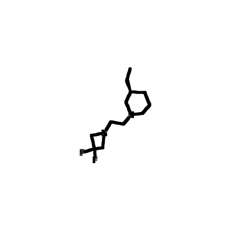 CC[C@H]1CCCN(CCN2CC(F)(F)C2)C1